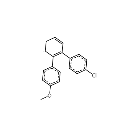 COc1ccc(C2=C(c3ccc(Cl)cc3)C=CC[CH]2)cc1